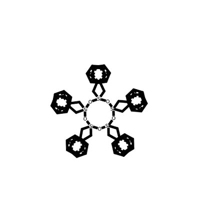 c1ccc(C[Si]2(Cc3ccccc3)O[Si](Cc3ccccc3)(Cc3ccccc3)O[Si](Cc3ccccc3)(Cc3ccccc3)O[Si](Cc3ccccc3)(Cc3ccccc3)O[Si](Cc3ccccc3)(Cc3ccccc3)O2)cc1